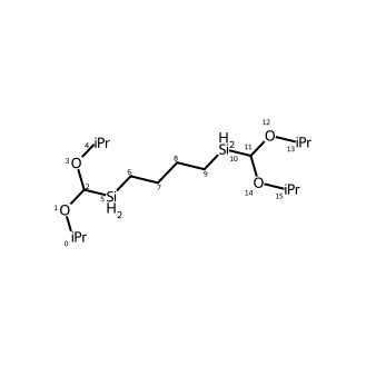 CC(C)OC(OC(C)C)[SiH2]CCCC[SiH2]C(OC(C)C)OC(C)C